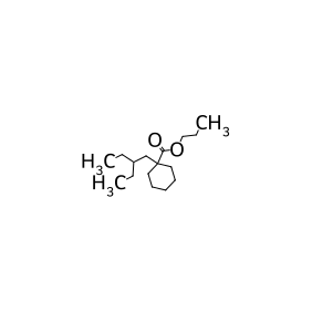 CCCOC(=O)C1(CC(CC)CC)CCCCC1